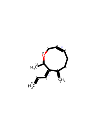 C=C/C=C1/C(=C)CC/C=C\COC1C